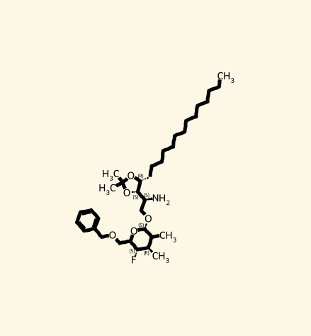 CCCCCCCCCCCCCC[C@H]1OC(C)(C)O[C@H]1[C@@H](N)CO[C@H]1OC(COCc2ccccc2)[C@@H](F)[C@H](C)C1C